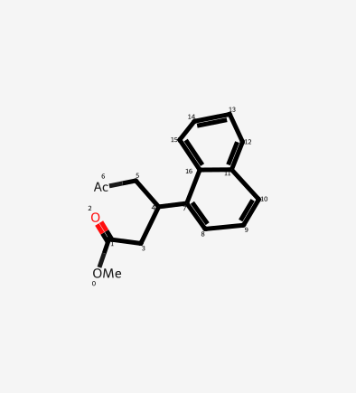 COC(=O)CC(CC(C)=O)c1cccc2ccccc12